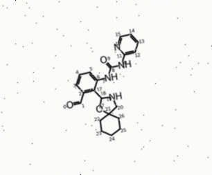 O=Cc1cccc(NC(=O)Nc2ccccn2)c1C1NCC2(CCCCC2)O1